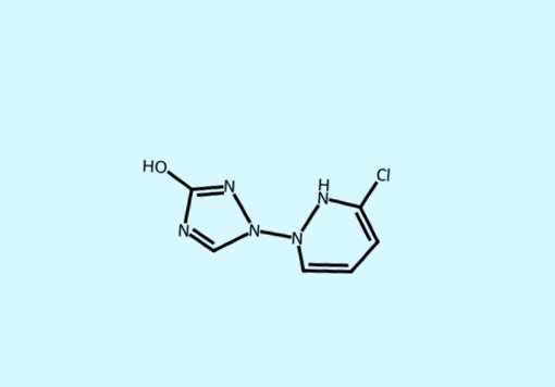 Oc1ncn(N2C=CC=C(Cl)N2)n1